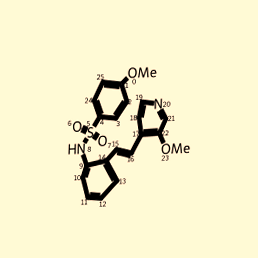 COc1ccc(S(=O)(=O)Nc2ccccc2C=Cc2ccncc2OC)cc1